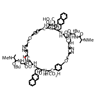 CN[C@@H](C)C(=O)N[C@H](C(=O)N1C[C@@H]2C[C@H]1C(=O)N[C@@H](Cc1ccc3ccccc3c1)C(=O)N[C@H](C(=O)O)Cc1ccc(cc1)OCc1cn(nn1)[C@H]1C[C@@H](C(=O)N[C@@H](Cc3ccc4ccccc4c3)C(=O)N[C@H](C(=O)NCC(=O)O)Cc3ccc(cc3)OCc3cn2nn3)N(C(=O)[C@@H](NC(=O)[C@H](C)NC)C(C)(C)C)C1)C(C)(C)C